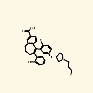 O=C(O)c1ccc2c(c1)CCCC(c1ccccc1Cl)=C2c1cc(O[C@@H]2CCN(CCCF)C2)ccc1F